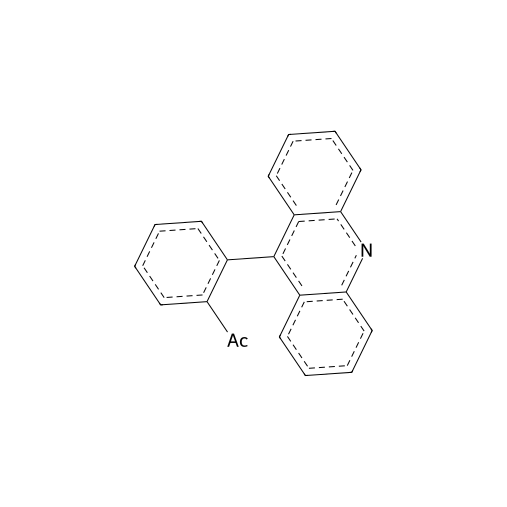 CC(=O)c1ccccc1-c1c2ccccc2nc2ccccc12